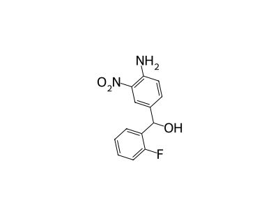 Nc1ccc(C(O)c2ccccc2F)cc1[N+](=O)[O-]